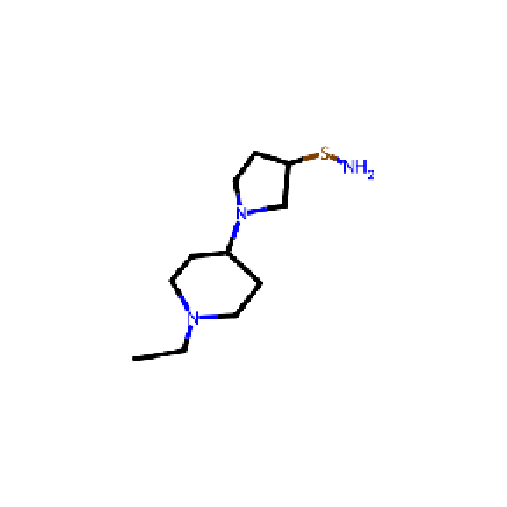 CCN1CCC(N2CCC(SN)C2)CC1